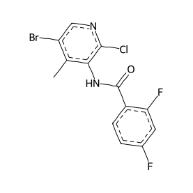 Cc1c(Br)cnc(Cl)c1NC(=O)c1ccc(F)cc1F